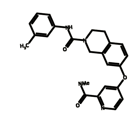 CNC(=O)c1cc(Oc2ccc3c(c2)CN(C(=O)Nc2cccc(C)c2)CC3)ccn1